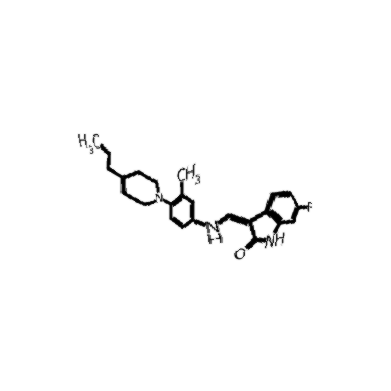 CCCC1CCN(c2ccc(NC=C3C(=O)Nc4cc(F)ccc43)cc2C)CC1